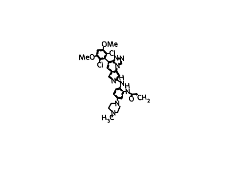 C=CC(=O)Nc1cc(N2CCN(C)CC2)ccc1Nc1cc2c(cn1)cc(-c1c(Cl)c(OC)cc(OC)c1Cl)c1nncn12